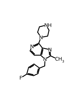 Cc1nc2c(N3CCNCC3)nccc2n1Cc1ccc(F)cc1